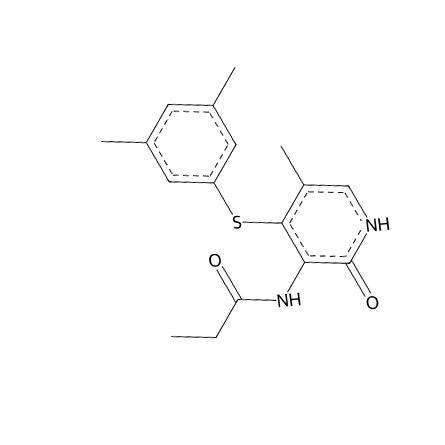 CCC(=O)Nc1c(Sc2cc(C)cc(C)c2)c(C)c[nH]c1=O